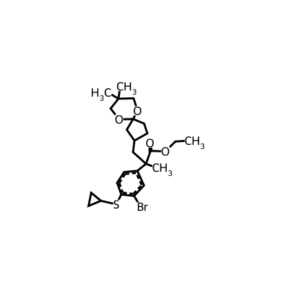 CCOC(=O)C(C)(CC1CCC2(C1)OCC(C)(C)CO2)c1ccc(SC2CC2)c(Br)c1